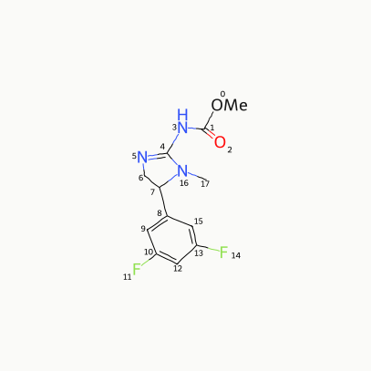 COC(=O)NC1=NCC(c2cc(F)cc(F)c2)N1C